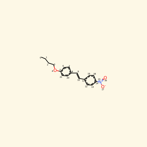 CCCCOc1ccc(C=Cc2ccc([N+](=O)[O-])cc2)cc1